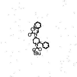 CC(C)(C)OC(=O)N1CC[C@H](N(Cc2ccccn2)C(=O)C(F)(F)F)C[C@H]1c1ccccc1